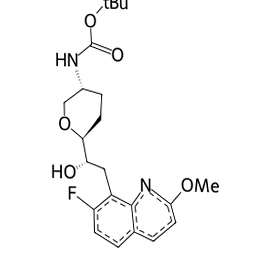 COc1ccc2ccc(F)c(C[C@H](O)[C@@H]3CC[C@@H](NC(=O)OC(C)(C)C)CO3)c2n1